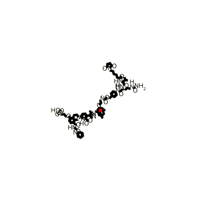 Cc1c(-c2ccc(N3CCc4c(OCCCS(=O)(=O)O)ccc(C(=O)Nc5nc6ccccc6s5)c4C3)nc2C(=O)O)cnn1CC12CC3(C)CC(C)(C1)CC(OCCN(C)C(=O)OCc1ccc(NC(=O)[C@H](CCCNC(N)=O)NC(=O)[C@@H](NC(=O)CCCCCN4C(=O)C=CC4=O)C(C)C)cc1)(C3)C2